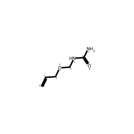 C=CCOCNC(N)=O